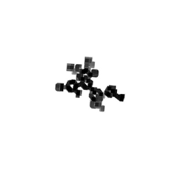 Cc1nc2c(-c3ccc(Cl)cc3F)cc(N3C[C@@H](C)O[C@@H](c4cnn(C5CC5)c4)C3)cn2c(=O)c1C